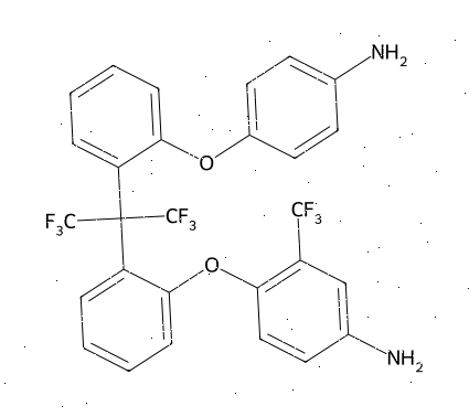 Nc1ccc(Oc2ccccc2C(c2ccccc2Oc2ccc(N)cc2C(F)(F)F)(C(F)(F)F)C(F)(F)F)cc1